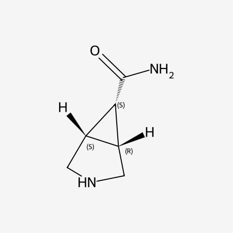 NC(=O)[C@@H]1[C@@H]2CNC[C@@H]21